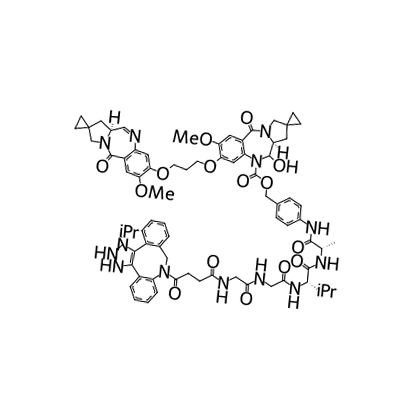 COc1cc2c(cc1OCCCOc1cc3c(cc1OC)C(=O)N1CC4(CC4)C[C@H]1C(O)N3C(=O)OCc1ccc(NC(=O)[C@H](C)NC(=O)[C@@H](NC(=O)CNC(=O)CNC(=O)CCC(=O)N3Cc4ccccc4C4=C(NNN4C(C)C)c4ccccc43)C(C)C)cc1)N=C[C@@H]1CC3(CC3)CN1C2=O